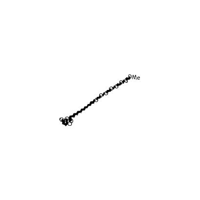 COCCOCCOCCOCCOCCOCCOCCOCCCCCCCCCCCCCCCC(=O)ON1C(=O)CCC1=O